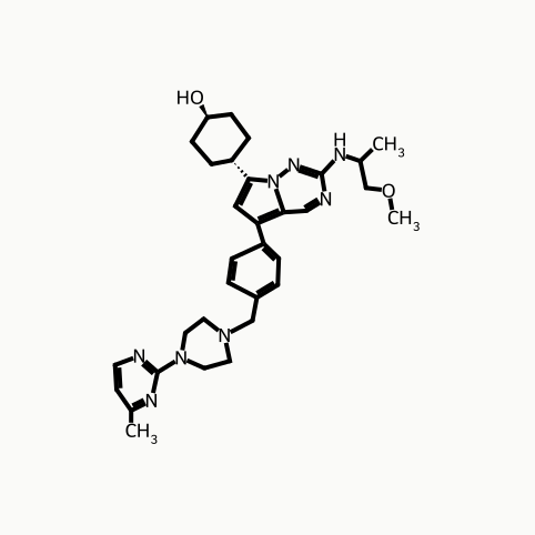 COCC(C)Nc1ncc2c(-c3ccc(CN4CCN(c5nccc(C)n5)CC4)cc3)cc([C@H]3CC[C@H](O)CC3)n2n1